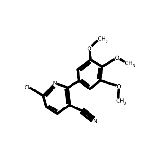 COc1cc(-c2nc(Cl)ccc2C#N)cc(OC)c1OC